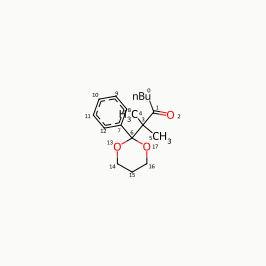 CCCCC(=O)C(C)(C)C1(c2ccccc2)OCCCO1